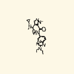 CCN(CC)c1nc2ccc(NC(=O)c3c(C(=O)N(C)C4CC4)cnn3C)cn2n1